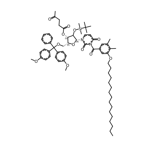 CCCCCCCCCCCCCCCCOc1cc(C(=O)n2c(=O)ccn([C@@H]3O[C@H](COC(c4ccccc4)(c4ccc(OC)cc4)c4ccc(OC)cc4)[C@H](OC(=O)CCC(C)=O)C3O[Si](C)(C)C(C)(C)C)c2=O)cc(C)c1C